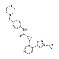 O=C(Nc1ccc(CN2CCOCC2)cc1)C1CC1c1cnccc1-c1cnn(C2CC2)c1